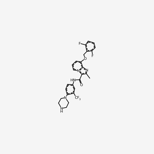 Cc1nc2c(OCc3c(F)cccc3F)cccn2c1C(=O)Nc1ccc(N2CCNCC2)c(C(F)(F)F)c1